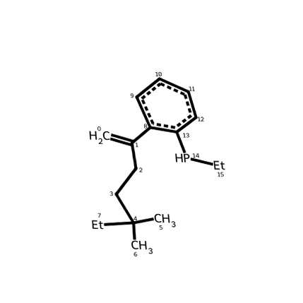 C=C(CCC(C)(C)CC)c1ccccc1PCC